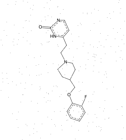 O=c1nccc(CCN2CCC(COc3ccccc3F)CC2)[nH]1